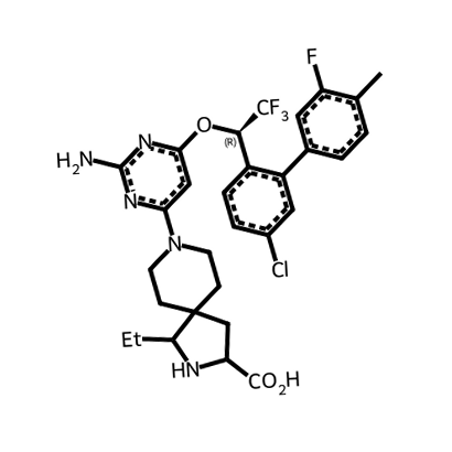 CCC1NC(C(=O)O)CC12CCN(c1cc(O[C@H](c3ccc(Cl)cc3-c3ccc(C)c(F)c3)C(F)(F)F)nc(N)n1)CC2